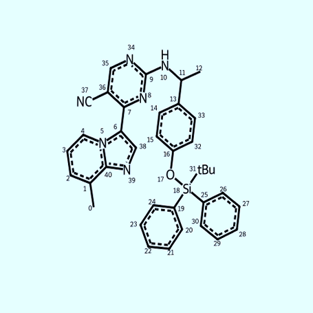 Cc1cccn2c(-c3nc(NC(C)c4ccc(O[Si](c5ccccc5)(c5ccccc5)C(C)(C)C)cc4)ncc3C#N)cnc12